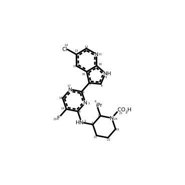 CC(C)C1C(Nc2nc(-c3c[nH]c4ncc(Cl)cc34)ncc2F)CCCN1C(=O)O